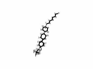 CCCCCCCC[C@H]1CC[C@H](C2CCC(C3=CCC(OCC(F)(F)F)C=C3)CC2)CC1